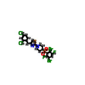 O=S(=O)(c1c(F)c(Br)cc(F)c1Br)C1CCN(c2nc(Cc3ccc(Cl)cc3Cl)cs2)CC1